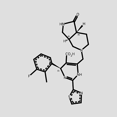 Cc1c(F)cccc1[C@@H]1N=C(c2nccs2)NC(CN2CC[C@H]3C(=O)NC[C@@H]3C2)=C1C(=O)O